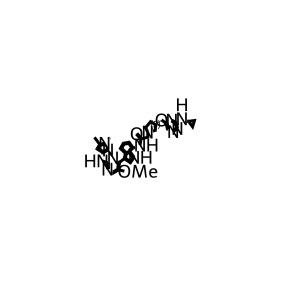 COc1cnc(Nc2cc(C)n(C)n2)nc1-c1c[nH]c2c(NC(=O)CN3CC[C@H](Oc4cnnc(NC5CC5)n4)C3)cccc12